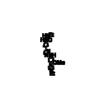 CCNC(=O)Nc1ccc(-c2ccnc(Nc3ccc(N4CCN(CC)CC4)c(OC)c3)n2)cc1